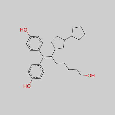 OCCCCCC(=C(c1ccc(O)cc1)c1ccc(O)cc1)C1CCC(C2CCCC2)C1